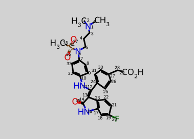 CN(C)CCCN(c1ccc(N/C(=C2\C(=O)Nc3cc(F)ccc32)c2ccc(CC(=O)O)cc2)cc1)S(C)(=O)=O